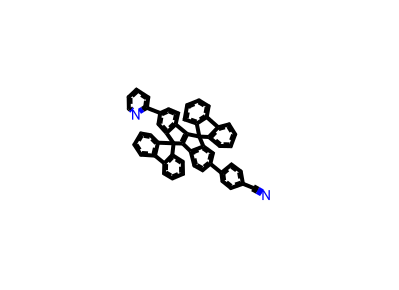 N#Cc1ccc(-c2ccc3c(c2)C2(C4=C3C3(c5cc(-c6ccccn6)ccc54)c4ccccc4-c4ccccc43)c3ccccc3-c3ccccc32)cc1